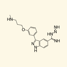 CNCCCOc1cccc(-c2n[nH]c3ccc(C(=N)NN=N)cc23)c1